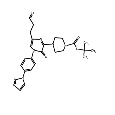 CC(C)(C)OC(=O)N1CCN(c2nc(CCC=O)cn(-c3ccc(-n4ccnn4)cc3)c2=O)CC1